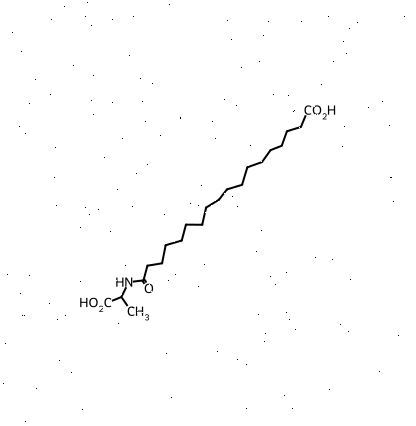 CC(NC(=O)CCCCCCCCCCCCCCCCC(=O)O)C(=O)O